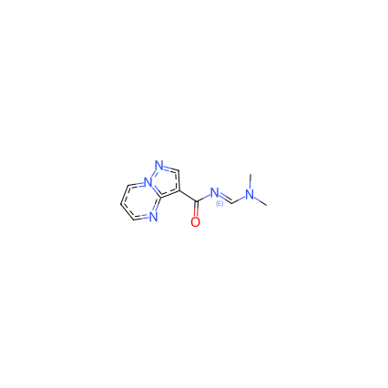 CN(C)/C=N/C(=O)c1cnn2cccnc12